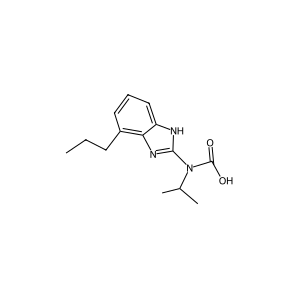 CCCc1cccc2[nH]c(N(C(=O)O)C(C)C)nc12